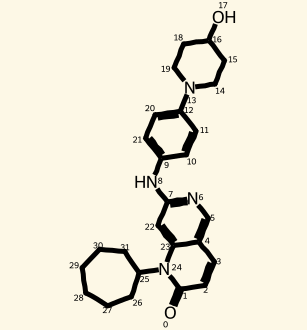 O=c1ccc2cnc(Nc3ccc(N4CCC(O)CC4)cc3)cc2n1C1CCCCCC1